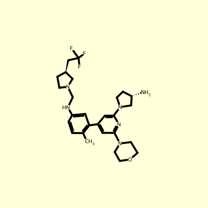 Cc1ccc(NCN2CC[C@@H](CC(F)(F)F)C2)cc1-c1cc(N2CCOCC2)nc(N2CC[C@H](N)C2)c1